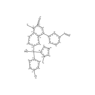 C=Cc1cccc(-c2cc(=O)n(C)c3ccc(C(O)(c4ccc(Cl)cc4)c4cncn4C)cc23)c1